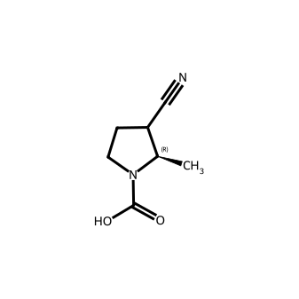 C[C@@H]1C(C#N)CCN1C(=O)O